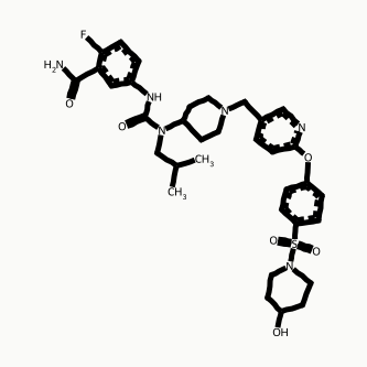 CC(C)CN(C(=O)Nc1ccc(F)c(C(N)=O)c1)C1CCN(Cc2ccc(Oc3ccc(S(=O)(=O)N4CCC(O)CC4)cc3)nc2)CC1